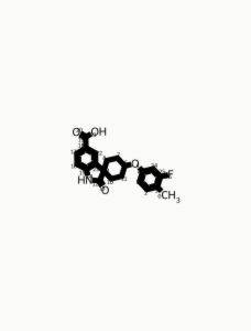 Cc1ccc(OC2CCC3(CC2)C(=O)Nc2ccc(C(=O)O)cc23)cc1F